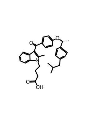 Cc1c(C(=O)c2ccc(O[C@H](C)c3ccc(CC(C)C)cc3)cc2)c2ccccc2n1CCCC(=O)O